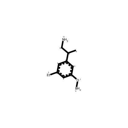 BOc1cc(CC)cc(C(C)CN)c1